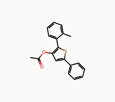 CC(=O)Oc1cc(-c2ccccc2)sc1-c1ccccc1C